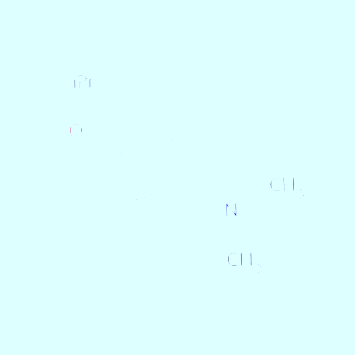 CC(C)OC1CC(N(C)C)C1